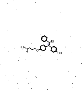 CC/C(=C(\c1ccc(O)cc1)c1ccc(OCCCNN)cc1)c1ccccc1